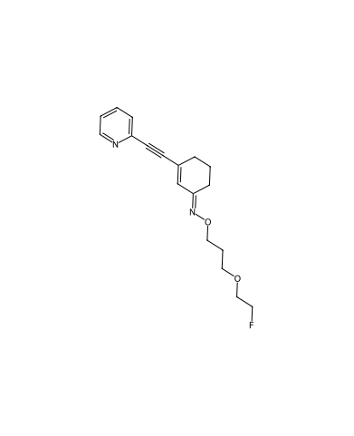 FCCOCCCO/N=C1/C=C(C#Cc2ccccn2)CCC1